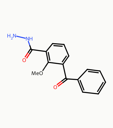 COc1c(C(=O)NN)cccc1C(=O)c1ccccc1